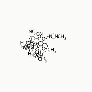 COC(=O)/C(C)=C\CC12OC(C)(C)C3CC(C1=O)C(C(C#N)C#N)C1C(=O)c4c(OCCN5CCN(C)CC5)c5c(c(CC=C(C)C)c4OC132)OC(C)(CCC=C(C)C)C=C5